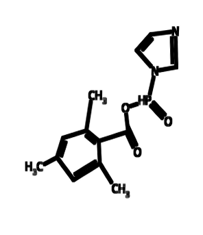 Cc1cc(C)c(C(=O)O[PH](=O)n2ccnc2)c(C)c1